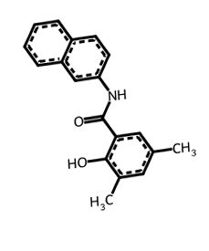 Cc1cc(C)c(O)c(C(=O)Nc2ccc3ccccc3c2)c1